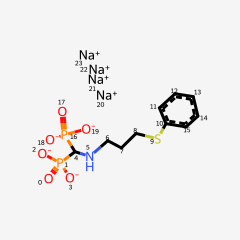 O=P([O-])([O-])C(NCCCSc1ccccc1)P(=O)([O-])[O-].[Na+].[Na+].[Na+].[Na+]